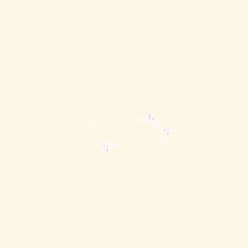 Cc1ccccc1CC(=O)/N=c1/ccn(-c2ccccc2)nc1